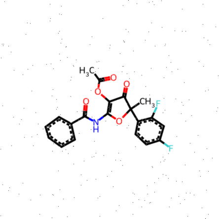 CC(=O)OC1=C(NC(=O)c2ccccc2)OC(C)(c2ccc(F)cc2F)C1=O